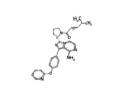 CC(C)/C=C/C(=O)N1CCC[C@H]1c1nc(-c2ccc(Oc3ccccn3)cc2)c2c(N)nccn12